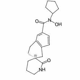 O=C(c1ccc2c(c1)CC[C@]1(CCCNC1=O)C2)N(O)C1CCCC1